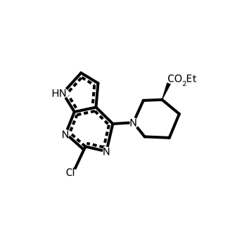 CCOC(=O)[C@H]1CCCN(c2nc(Cl)nc3[nH]ccc23)C1